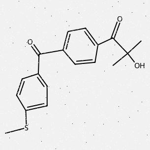 CSc1ccc(C(=O)c2ccc(C(=O)C(C)(C)O)cc2)cc1